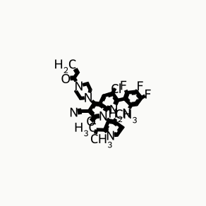 C=CC(=O)N1CCN(c2c(C#N)c(=O)n(-c3c(C)ccnc3C(C)C)c3nc(-c4c(N)cc(F)c(F)c4F)c(Cl)cc23)CC1